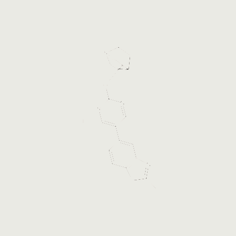 Cc1nc2cc(-c3cnc(O[C@H]4CN5CCC4CC5)nc3)ccc2o1.[Cl-].[H+]